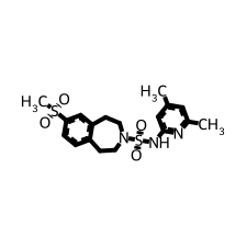 Cc1cc(C)nc(NS(=O)(=O)N2CCc3ccc(S(C)(=O)=O)cc3CC2)c1